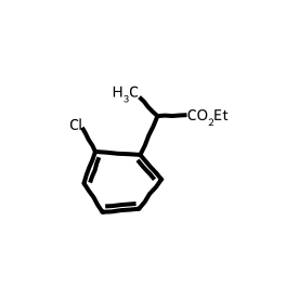 CCOC(=O)C(C)c1ccccc1Cl